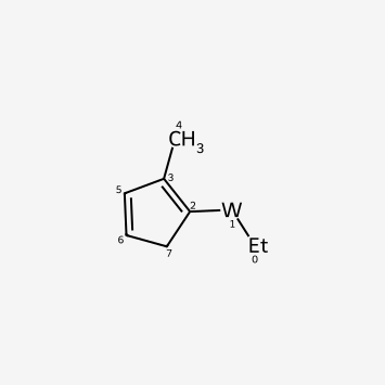 C[CH2][W][C]1=C(C)C=CC1